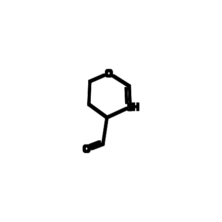 O=CC1CCOC=[SH]1